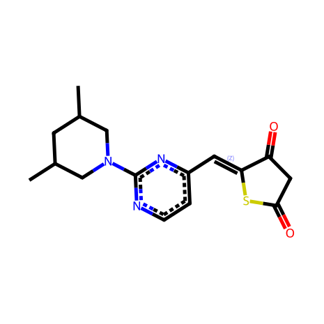 CC1CC(C)CN(c2nccc(/C=C3\SC(=O)CC3=O)n2)C1